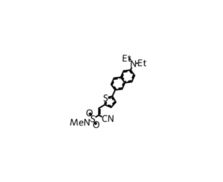 CCN(CC)c1ccc2cc(-c3ccc(/C=C(\C#N)S(=O)(=O)NC)s3)ccc2c1